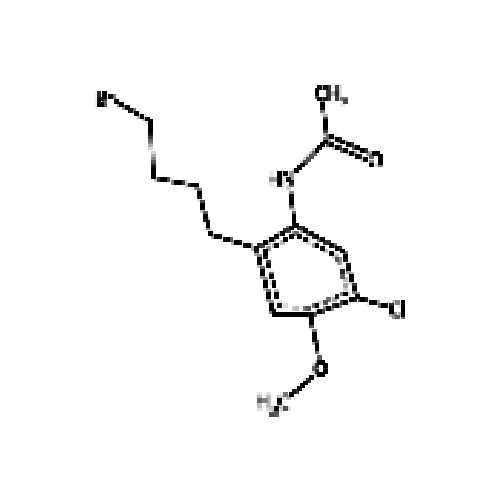 COc1cc(CCCCBr)c(NC(C)=O)cc1Cl